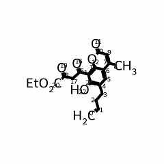 C=CCCc1cc2c(C)cc(=O)oc2c(C(=O)CC(=O)C(=O)OCC)c1O